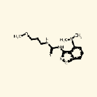 COCCCNC(=S)Nc1noc2cccc(N(C)C)c12